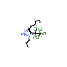 CCCCc1nnn(CCC)c1C(Cl)(Cl)C(Cl)(Cl)Cl